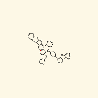 c1ccc(N(c2ccc(-c3cccc4c3oc3ccccc34)cc2)c2cccc3c2sc2ccccc23)c(-c2cccc3c2oc2cc4ccccc4cc23)c1